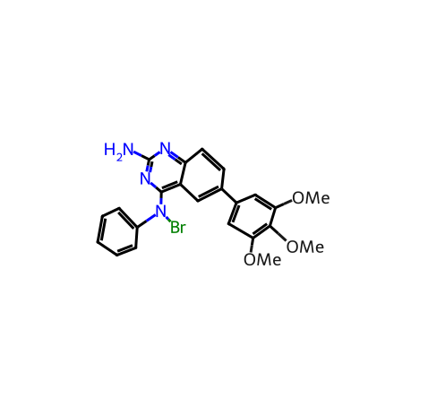 COc1cc(-c2ccc3nc(N)nc(N(Br)c4ccccc4)c3c2)cc(OC)c1OC